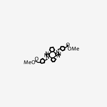 COC(=O)Cc1ccc(Cn2nnc3c2-c2ccccc2-c2nnn(Cc4ccc(C(=O)OC)cc4)c2-c2ccccc2-3)cc1